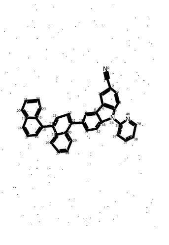 N#Cc1ccc2c(c1)c1cc(-c3ccc(-c4cccc5ccccc45)c4ccccc34)ccc1n2-c1ccccn1